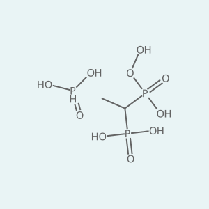 CC(P(=O)(O)O)P(=O)(O)OO.O=[PH](O)O